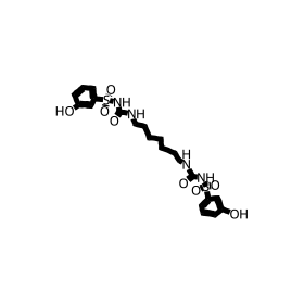 O=C(NCCCCCCCNC(=O)NS(=O)(=O)c1cccc(O)c1)NS(=O)(=O)c1cccc(O)c1